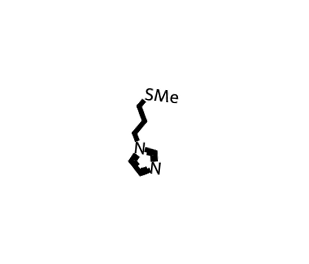 CSCCCn1ccnc1